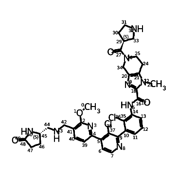 COc1nc(-c2ccnc(-c3cccc(NC(=O)c4nc5c(n4C)CCN(C(=O)[C@H]4CCNC4)C5)c3Cl)c2Cl)ccc1CNC[C@@H]1CCC(=O)N1